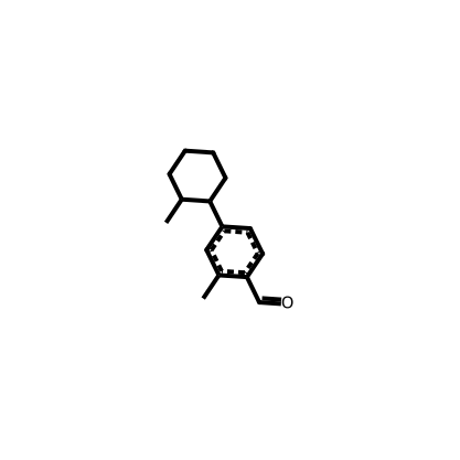 Cc1cc(C2CCCCC2C)ccc1C=O